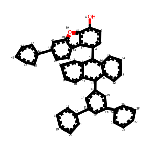 Oc1ccc(-c2c3ccccc3c(-c3cc(-c4ccccc4)cc(-c4ccccc4)c3)c3ccccc23)c2c1oc1cc(-c3ccccc3)ccc12